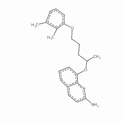 Cc1cccc(OCCCC(C)Oc2cccc3ccc(N)nc23)c1C